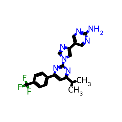 CC(C)c1cc(-c2ccc(C(F)(F)F)cc2)nc(-n2cnc(-c3cnc(N)nc3)c2)n1